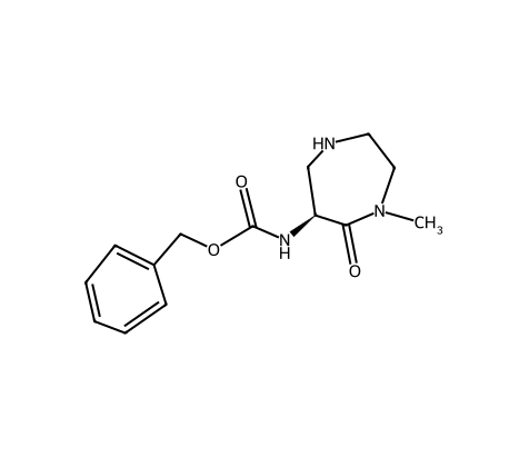 CN1CCNC[C@H](NC(=O)OCc2ccccc2)C1=O